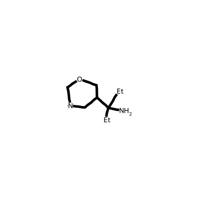 CCC(N)(CC)C1C[N]COC1